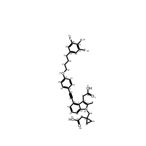 Cc1c(CC(=O)O)c2c(C#Cc3ccc(OCCCCc4cc(F)c(F)c(F)c4)cc3)cccc2n1CC1(CC(=O)O)CC1